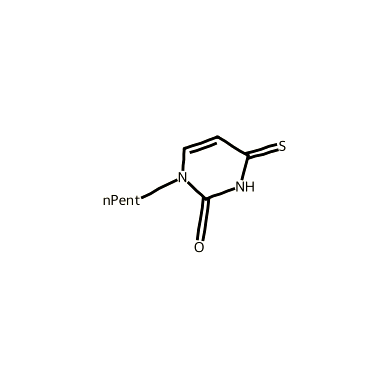 CCCCCn1ccc(=S)[nH]c1=O